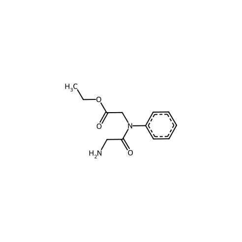 CCOC(=O)CN(C(=O)CN)c1ccccc1